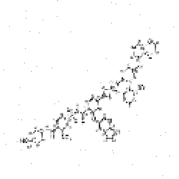 CC(C)c1ccccc1[C@@H]1CN(Cc2cccc3c2OCCO3)CCN1C1CC2(C1)CN(c1ccc(C(=O)NS(=O)(=O)c3ccc(NCC4CCC(C)(O)CC4)c([N+](=O)[O-])c3)c(Oc3cnc4[nH]ccc4c3)c1)C2